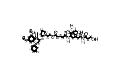 CCC(C)(CC)C(=O)C(CCCCNC(=O)CCO)NC(=O)CCCC(=O)OCCN1CCC[C@H]1C[C@H](CSc1ccccc1)Nc1ccc([S+]=O)cc1[S+]=O